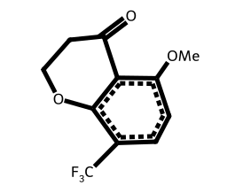 COc1ccc(C(F)(F)F)c2c1C(=O)CCO2